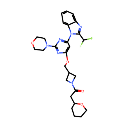 O=C(CC1CCCCO1)N1CC(COc2cc(-n3c(C(F)F)nc4ccccc43)nc(N3CCOCC3)n2)C1